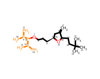 C=C1C[C@H](CCCOP(P(P)P)P(P)P)OC1CCC(C)(C)C